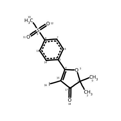 CC1(C)OC(c2ccc(S(C)(=O)=O)cc2)=C(I)C1=O